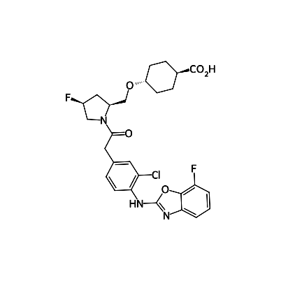 O=C(Cc1ccc(Nc2nc3cccc(F)c3o2)c(Cl)c1)N1C[C@@H](F)C[C@H]1CO[C@H]1CC[C@H](C(=O)O)CC1